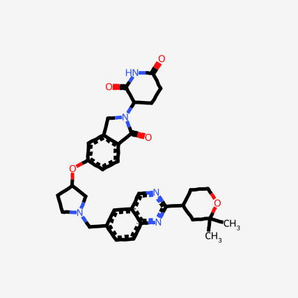 CC1(C)CC(c2ncc3cc(CN4CCC(Oc5ccc6c(c5)CN(C5CCC(=O)NC5=O)C6=O)C4)ccc3n2)CCO1